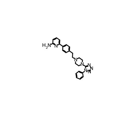 Nc1cccc(-c2ccc(CCN3CCN(c4nnnn4-c4ccccc4)CC3)cc2)n1